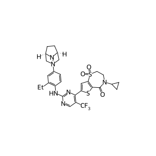 CCc1cc(N2C[C@H]3CC[C@@H](C2)N3C)ccc1Nc1ncc(C(F)(F)F)c(-c2cc3c(s2)C(=O)N(C2CC2)CCS3(=O)=O)n1